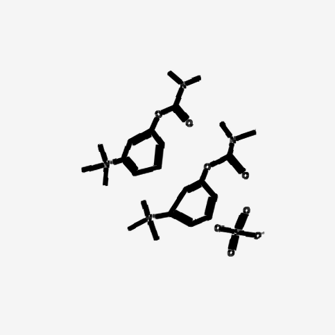 CN(C)C(=O)Oc1cccc([N+](C)(C)C)c1.CN(C)C(=O)Oc1cccc([N+](C)(C)C)c1.O=S(=O)([O-])[O-]